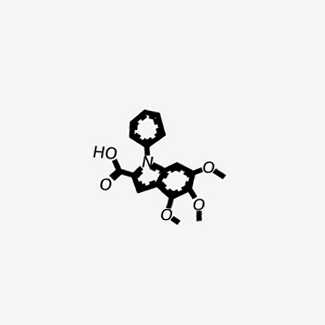 COc1cc2c(cc(C(=O)O)n2-c2ccccc2)c(OC)c1OC